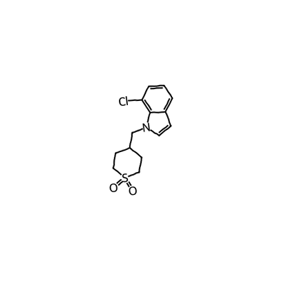 O=S1(=O)CCC(Cn2ccc3cccc(Cl)c32)CC1